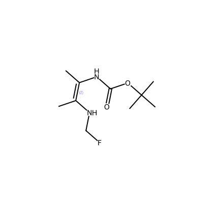 C/C(NCF)=C(\C)NC(=O)OC(C)(C)C